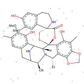 CC[C@H]1c2c3c(c(C)c(O)c2[C@]2(OC(=O)[C@]4(CS2)NCCc2cc(O)c(OC)cc24)[C@H]2C4NC(Cc5cc(C)c(OC)c(O)c54)[C@H](C#N)N12)OCO3